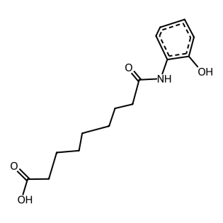 O=C(O)CCCCCCCC(=O)Nc1ccccc1O